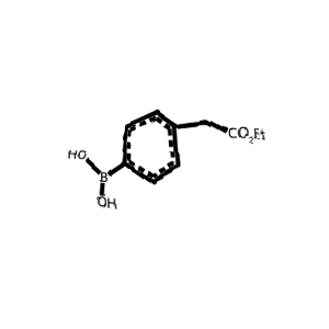 CCOC(=O)Cc1ccc(B(O)O)cc1